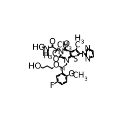 COc1ccc(F)cc1[C@H](Cn1c(=O)n(C(C)(C)C(=O)NO)c(=O)c2c(C)c(-n3nccn3)sc21)OCCCO